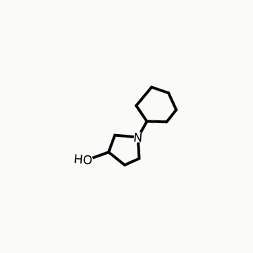 OC1CCN(C2CCCCC2)C1